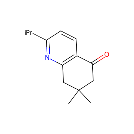 CC(C)c1ccc2c(n1)CC(C)(C)CC2=O